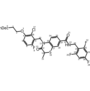 CCCCCCCCCCCCOc1ccc(F)c(CN2C(=O)C(C)Sc3cc(C(=O)NCc4c(F)cc(F)cc4F)ccc32)c1Cl